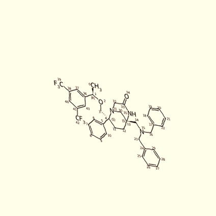 C[C@@H](OC[C@@]1(c2ccccc2)CC[C@]2(CN(Cc3ccccc3)Cc3ccccc3)CN1CC(=O)N2)c1cc(C(F)(F)F)cc(C(F)(F)F)c1